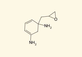 NC1=CC=CC(N)(CC2CO2)C1